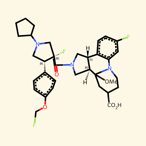 COC12CC(C(=O)O)CCN1c1cc(F)ccc1[C@H]1CN(C(=O)[C@]3(F)CN(C4CCCC4)C[C@H]3c3ccc(OCF)cc3)C[C@@H]12